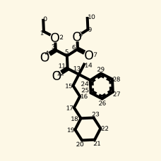 CCOC(=O)C(C(=O)OCC)C(=O)C(C)(CCCC1CCCCC1)c1ccccc1